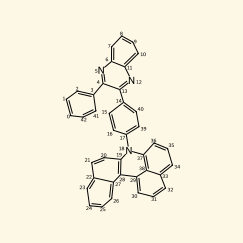 c1ccc(-c2nc3ccccc3nc2-c2ccc(N3c4ccc5ccccc5c4-c4cccc5cccc3c45)cc2)cc1